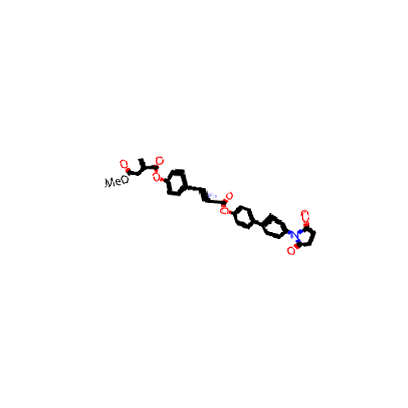 C=C(CC(=O)OC)C(=O)Oc1ccc(/C=C/C(=O)Oc2ccc(-c3ccc(N4C(=O)C=CC4=O)cc3)cc2)cc1